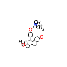 CN(C)CCOC1=CCC([C@@H]2C[C@]3(C)C(=O)CCC3C3CCC4=CC(=O)CCC4=C32)C=C1